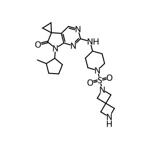 CC1CCCC1N1C(=O)C2(CC2)c2cnc(NC3CCN(S(=O)(=O)N4CC5(CNC5)C4)CC3)nc21